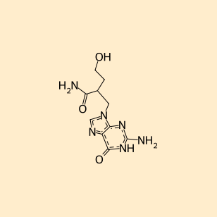 NC(=O)C(CCO)Cn1cnc2c(=O)[nH]c(N)nc21